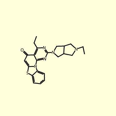 CCc1nc(N2CC3CN(CC)CC3C2)nc2c1c(=O)cc1sc3ccccc3n12